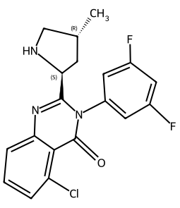 C[C@H]1CN[C@H](c2nc3cccc(Cl)c3c(=O)n2-c2cc(F)cc(F)c2)C1